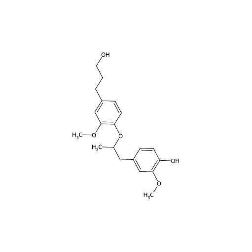 COc1cc(CC(C)Oc2ccc(CCCO)cc2OC)ccc1O